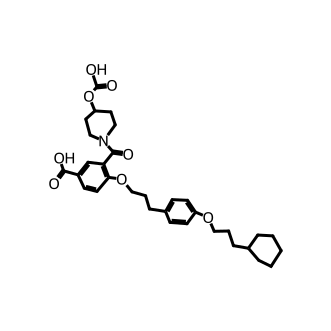 O=C(O)OC1CCN(C(=O)c2cc(C(=O)O)ccc2OCCCc2ccc(OCCCC3CCCCC3)cc2)CC1